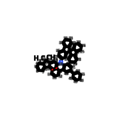 CC1(C)c2ccccc2-c2ccc(N(c3ccc4c(c3)C3(c5ccccc5-c5ccccc53)c3ccccc3-4)c3ccc(-c4ccccc4)cc3-c3ccccc3)cc21